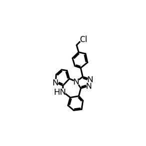 ClCc1ccc(-c2nnc3n2-c2cccnc2Nc2ccccc2-3)cc1